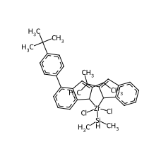 CCC1=Cc2c(-c3ccc(C(C)(C)C)cc3)cccc2[CH]1[Zr]([Cl])([Cl])([CH]1C(C(C)C)=Cc2ccccc21)[SiH](C)C